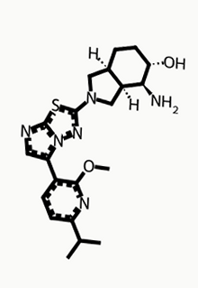 COc1nc(C(C)C)ccc1-c1cnc2sc(N3C[C@H]4CC[C@H](O)[C@@H](N)[C@H]4C3)nn12